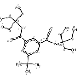 CC(C)(C)c1cc(C(=O)NC(CO)(CO)CO)cc(C(=O)NC(CO)(CO)CO)c1